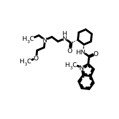 CCN(CCNC(=O)[C@@H]1CCCC[C@@H]1NC(=O)c1cc2ccccc2n1C)CCOC